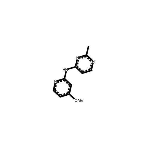 COc1ccnc(Nc2c[c]nc(C)n2)c1